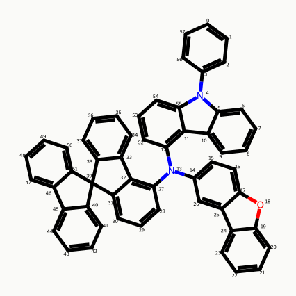 c1ccc(-n2c3ccccc3c3c(N(c4ccc5oc6ccccc6c5c4)c4cccc5c4-c4ccccc4C54c5ccccc5-c5ccccc54)cccc32)cc1